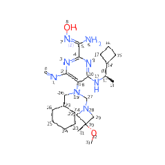 C=Nc1nc(/C(N)=N/O)nc(N[C@H](C)C2CCC2)c1N(CC1CCCCC1)CN1CC(C)(OC)C1